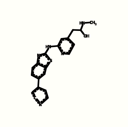 CNC(O)Cc1ccnc(Nc2nc3ccc(-c4ccncc4)cc3s2)c1